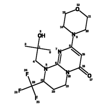 CC(C)(O)CN1c2nc(N3CCOCC3)cc(=O)n2CCC1C(F)(F)F